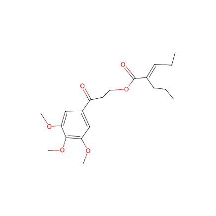 CC/C=C(\CCC)C(=O)OCCC(=O)c1cc(OC)c(OC)c(OC)c1